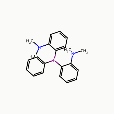 CN(C)c1ccccc1P(c1ccccc1)c1ccccc1N(C)C